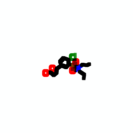 CCCN(CCC)S(=O)(=O)c1cc(C2=CCC(=O)O2)ccc1Cl